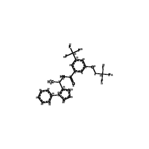 CC(NC(=O)c1cc(OCC(F)(F)F)cc(C(F)(F)F)c1)c1ncnn1-c1ccccn1